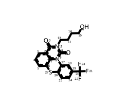 O=c1c2cccc3c2n(c(=O)n1CCCCO)-c1cc(C(F)(F)F)ccc1S3